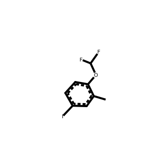 Cc1cc(I)ccc1OC(F)F